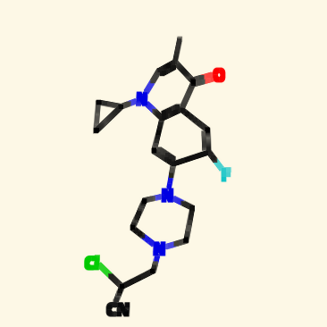 Cc1cn(C2CC2)c2cc(N3CCN(CC(Cl)C#N)CC3)c(F)cc2c1=O